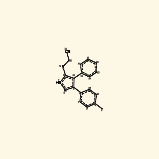 Cc1ccc(-c2n[nH]c(SCC#N)c2-c2ccccc2)cc1